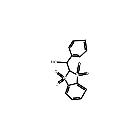 O=S1(=O)c2ccccc2S(=O)(=O)C1C(O)c1ccccc1